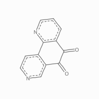 O=C1C(=O)c2cccnc2-c2ccncc21